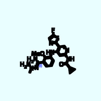 COc1c(Nc2cc(NC(=O)C3CC3)ncc2-c2ncc(F)s2)cccc1/C(N)=N/N(C)N